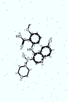 COc1cccc(Nc2c([S+]([O-])N3CCOCC3)cnc3ccc(Cl)cc23)c1C(=O)O